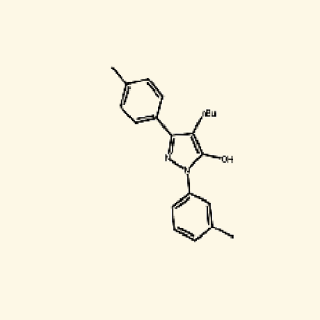 CCCCc1c(-c2ccc(C)cc2)nn(-c2cccc(C)c2)c1O